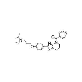 CC1CCCN1CCCOc1ccc(-c2nc3c(s2)CCCN3C(=O)c2ccncc2)cc1